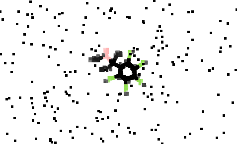 CCCCBC(CC)(CCC)c1c(F)c(F)c(F)c(F)c1F